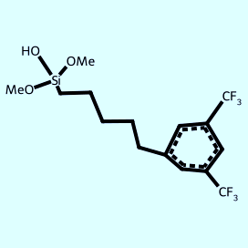 CO[Si](O)(CCCCCc1cc(C(F)(F)F)cc(C(F)(F)F)c1)OC